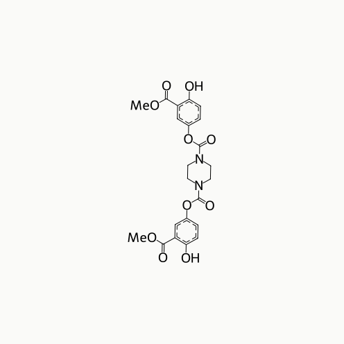 COC(=O)c1cc(OC(=O)N2CCN(C(=O)Oc3ccc(O)c(C(=O)OC)c3)CC2)ccc1O